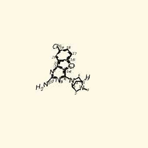 CN1CC2C[C@H]1CN2c1nc(N)nc2c1oc1ccc(Cl)cc12